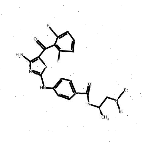 CCN(CC)C[C@@H](C)NC(=O)c1ccc(Nc2nc(N)c(C(=O)c3c(F)cccc3F)s2)cc1